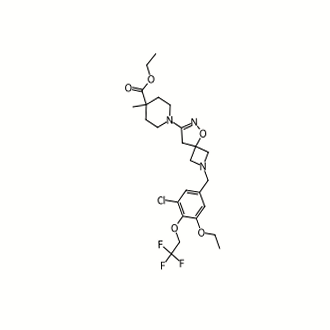 CCOC(=O)C1(C)CCN(C2=NOC3(C2)CN(Cc2cc(Cl)c(OCC(F)(F)F)c(OCC)c2)C3)CC1